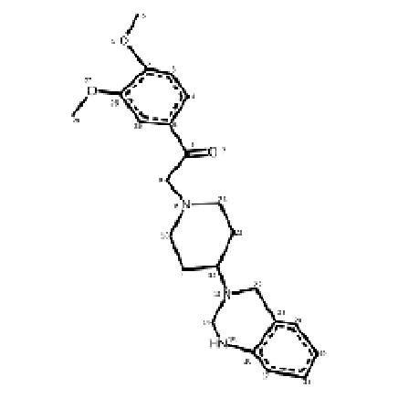 COc1ccc(C(=O)CN2CCC(N3CNc4ccccc4C3)CC2)cc1OC